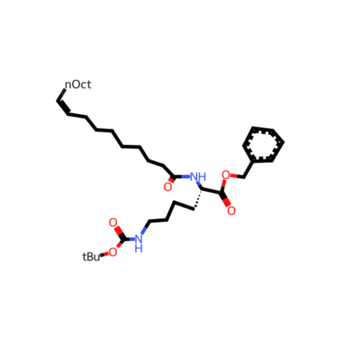 CCCCCCCC/C=C\CCCCCCCC(=O)N[C@@H](CCCCNC(=O)OC(C)(C)C)C(=O)OCc1ccccc1